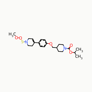 COOSN1CC=C(c2ccc(OCC3CCN(C(=O)OC(C)C)CC3)cc2)CC1